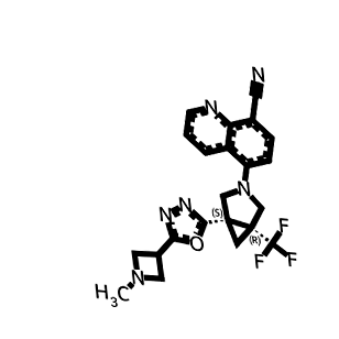 CN1CC(c2nnc([C@]34CN(c5ccc(C#N)c6ncccc56)C[C@@]3(C(F)(F)F)C4)o2)C1